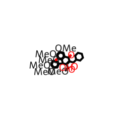 COC(=O)C1=C(C(=O)C2CCCCC2)C(=O)c2cc(OC)c(OC)c(OC)c2C1(O)c1ccc(OC)c(OC)c1